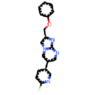 Fc1ccc(-c2cnc3nc(COc4ccccc4)cn3c2)cn1